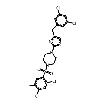 Cc1cc(S(=O)(=O)N2CCN(c3nc(Cc4cc(Cl)cc(Cl)c4)cs3)CC2)c(Cl)cc1Cl